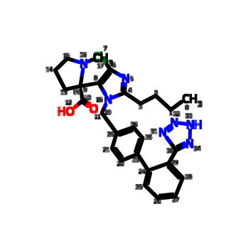 CCCCc1nc(Cl)c([C@]2(C(=O)O)CCCN2C)n1Cc1ccc(-c2ccccc2-c2nn[nH]n2)cc1